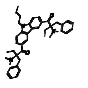 CCCCn1c2ccc(C(=O)C(CC)(Cc3ccccc3)N(C)C)cc2c2cc(C(=O)C(CC)(Cc3ccccc3)N(C)C)ccc21